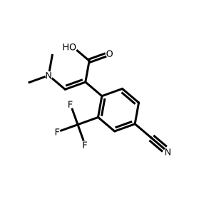 CN(C)/C=C(\C(=O)O)c1ccc(C#N)cc1C(F)(F)F